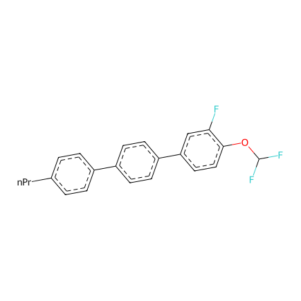 CCCc1ccc(-c2ccc(-c3ccc(OC(F)F)c(F)c3)cc2)cc1